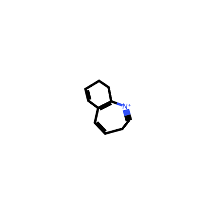 C1#[N+]C2=C(C=CC1)C=CCC2